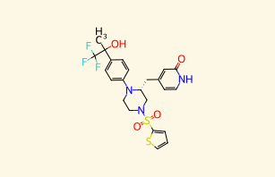 CC(O)(c1ccc(N2CCN(S(=O)(=O)c3cccs3)C[C@H]2Cc2cc[nH]c(=O)c2)cc1)C(F)(F)F